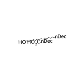 CCCCCCCCCCCC(=O)O.CCCCCCCCCCCCCCCCCCCCCCCCCCO